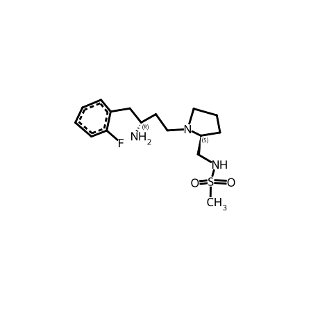 CS(=O)(=O)NC[C@@H]1CCCN1CC[C@H](N)Cc1ccccc1F